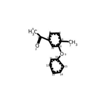 CC(=O)c1ccc(C)c(Oc2ccccc2)c1